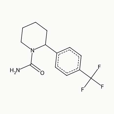 NC(=O)N1CCCCC1c1ccc(C(F)(F)F)cc1